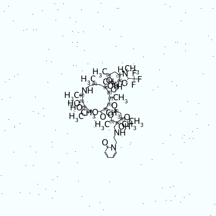 CC[C@H]1OC(=O)[C@H](C)[C@@H](O[C@H]2C[C@@](C)(OC)[C@](O)(CNCCn3ccccc3=O)[C@H](C)O2)[C@H](C)[C@@H](O[C@@H]2O[C@H](C)C[C@H]3[C@H]2OC(C(F)(F)F)N3C)[C@](C)(O)C[C@@H](C)CN[C@H](C)[C@@H](O)[C@]1(C)O